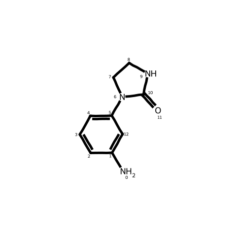 Nc1cccc(N2CCNC2=O)c1